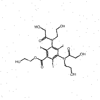 O=C(OCCO)c1c(I)c(N(CCO)C(=O)CO)c(I)c(N(CCO)C(=O)CO)c1I